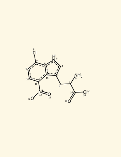 NC(Cc1c[nH]c2c(Cl)ccc([N+](=O)[O-])c12)C(=O)O